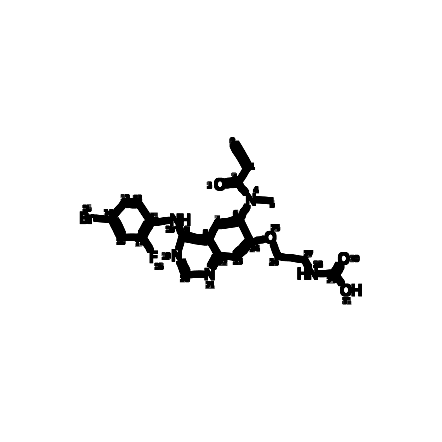 C=CC(=O)N(C)c1cc2c(Nc3ccc(Br)cc3F)ncnc2cc1OCCNC(=O)O